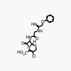 N=C(COc1ccccc1)NCC(=O)NC1C(=O)N2C(C(=O)O)=C(Cl)CS[C@@H]12